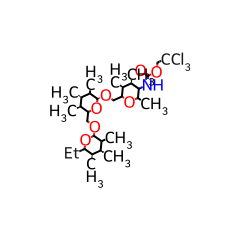 CCC1O[C@@H](OCC2O[C@@H](OCC3OC(C)C(NC(=O)OCC(Cl)(Cl)Cl)[C@@H](C)[C@@H]3C)C(C)[C@@H](C)[C@@H]2C)C(C)[C@@H](C)[C@@H]1C